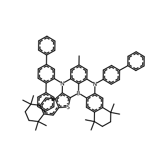 Cc1cc2c3c(c1)N(c1cc(-c4ccccc4)ccc1-c1ccccc1)c1c(sc4cc5c(cc14)C(C)(C)CCC5(C)C)B3c1cc3c(cc1N2c1ccc(-c2ccccc2)cc1)C(C)(C)CCC3(C)C